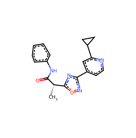 C[C@H](C(=O)Nc1ccccc1)c1nc(-c2ccnc(C3CC3)c2)no1